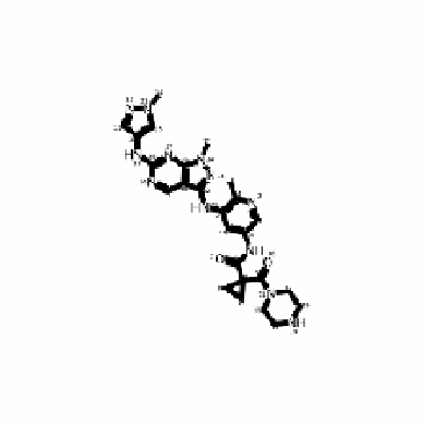 Cc1ncc(NC(=O)C2(C(=O)N3CCNCC3)CC2)cc1Nc1nn(C)c2nc(Nc3cnn(C)c3)ncc12